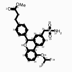 COC(=O)CCc1ccc(C2Oc3cccc(OC(F)F)c3-c3ccc(CS(N)(=O)=O)cc32)cc1